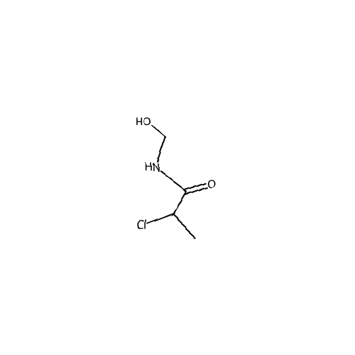 CC(Cl)C(=O)NCO